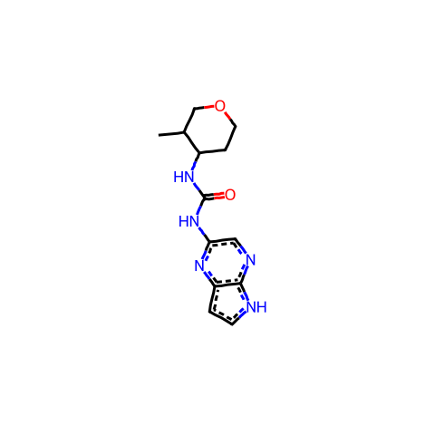 CC1COCCC1NC(=O)Nc1cnc2[nH]ccc2n1